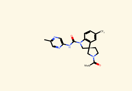 CNC(=O)N1CC[C@@]2(C1)CN(C(=O)Nc1cnc(C)cn1)c1ccc(C(F)(F)F)cc12